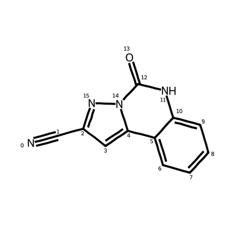 N#Cc1cc2c3ccccc3[nH]c(=O)n2n1